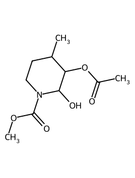 COC(=O)N1CCC(C)C(OC(C)=O)C1O